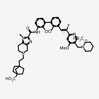 COc1cc(/C(F)=C/c2cccc(-c3cccc(NC(=O)c4nc5c(n4C)CCN(CCC46CCC(C(=O)O)(CC4)C6)C5)c3Cl)c2Cl)ncc1CN1CCCC[C@H]1C(=O)O